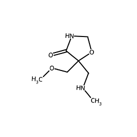 CNCC1(COC)OCNC1=O